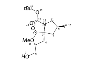 COC(=O)[C@]1(CCCO)C[C@H](F)CN1C(=O)OC(C)(C)C